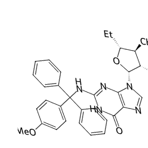 CC[C@H]1O[C@@H](n2cnc3c(=O)[nH]c(NC(c4ccccc4)(c4ccccc4)c4ccc(OC)cc4)nc32)[C@@H](F)[C@@H]1C